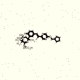 CC1(c2cc(C=C(F)c3cnc(OCC4CCCC4)cn3)ccc2F)CS(O)(O)C(C)(C)C(NC(=O)O)=N1